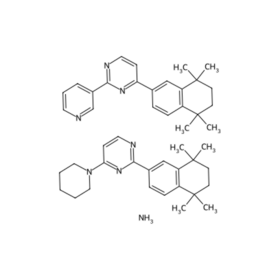 CC1(C)CCC(C)(C)c2cc(-c3ccnc(-c4cccnc4)n3)ccc21.CC1(C)CCC(C)(C)c2cc(-c3nccc(N4CCCCC4)n3)ccc21.N